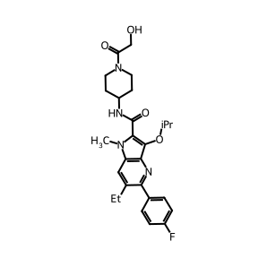 CCc1cc2c(nc1-c1ccc(F)cc1)c(OC(C)C)c(C(=O)NC1CCN(C(=O)CO)CC1)n2C